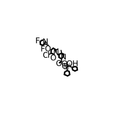 Cc1cnc(C(=O)OO[C@@H](c2ccccc2)[C@H](O)c2ccccc2)cc1-n1c(C)cc(OCc2ncc(F)cc2F)c(Cl)c1=O